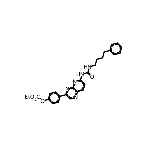 CCOC(=O)Oc1ccc(-c2cnc3ccc(NC(=O)NCCCCc4ccccc4)nc3n2)cc1